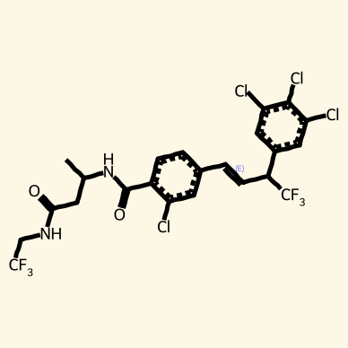 CC(CC(=O)NCC(F)(F)F)NC(=O)c1ccc(/C=C/C(c2cc(Cl)c(Cl)c(Cl)c2)C(F)(F)F)cc1Cl